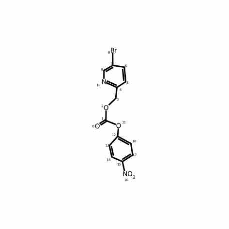 O=C(OCc1ccc(Br)cn1)Oc1ccc([N+](=O)[O-])cc1